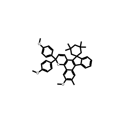 COc1ccc(C2(c3ccc(OC)cc3)C=Cc3c4c(c5cc(C)c(OC)cc5c3O2)-c2ccccc2C42CC(C)(C)CC(C)(C)C2)cc1